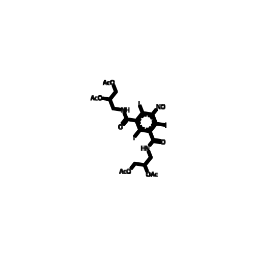 CC(=O)OCC(CNC(=O)c1c(I)c(N=O)c(I)c(C(=O)NCC(COC(C)=O)OC(C)=O)c1I)OC(C)=O